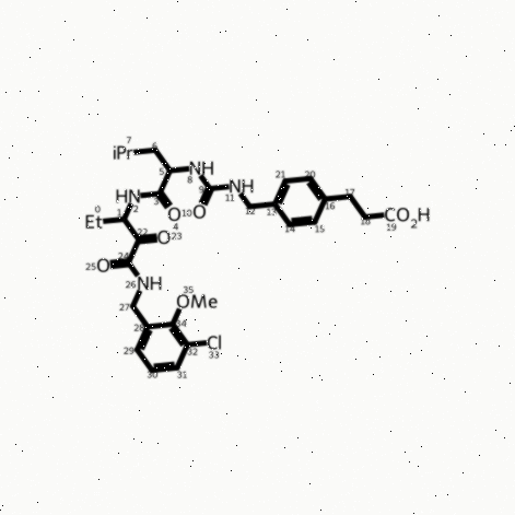 CCC(NC(=O)C(CC(C)C)NC(=O)NCc1ccc(CCC(=O)O)cc1)C(=O)C(=O)NCc1cccc(Cl)c1OC